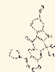 COc1cc2c(cc1[S+]([O-])N1CCCC1)C(=O)c1c([nH]c3cc(C#N)ccc13)C2(C)C